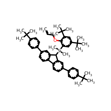 C=CCOc1c(C(C)(C)C)cc(C(C)(C)C)cc1[Si](C)(C)C1c2cc(-c3ccc(C(C)(C)C)cc3)ccc2-c2ccc(-c3ccc(C(C)(C)C)cc3)cc21